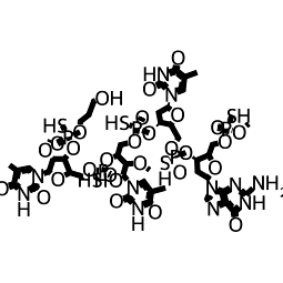 COC(C(COP(=O)(S)O[C@@H]1C[C@H](n2cc(C)c(=O)[nH]c2=O)OC1COP(=O)(S)O[C@@H]1C[C@H](n2cnc3c(=O)[nH]c(N)nc32)OC1COP(=O)(S)OC)OP(=O)(S)OCC1OC(n2cc(C)c(=O)[nH]c2=O)C(OC)C1OP(=O)(S)OCCCO)C(O)n1cc(C)c(=O)[nH]c1=O